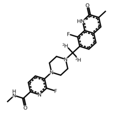 [2H]C([2H])(c1ccc2cc(C)c(=O)[nH]c2c1F)N1CCN(c2ccc(C(=O)NC)nc2F)CC1